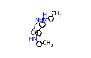 CCCCCN.Cc1cccc(Nc2ccc(-c3ccc(Nc4cccc(C)c4)cc3)cc2)c1